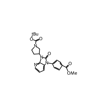 COC(=O)c1ccc(-n2c(=O)n(C3CCN(C(=O)OC(C)(C)C)C3)c3ncccc32)cc1